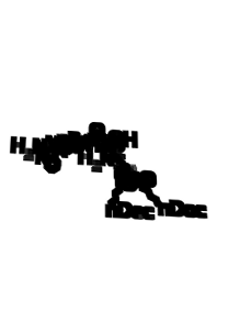 CCCCCCCCCCCCCCCC(=O)OC[C@H](CSC[C@H](N)C(=O)N[C@H](CO)C(=O)NCc1ccc(Cn2c(CCCC)nc3c(N)nc4ccccc4c32)cc1)OC(=O)CCCCCCCCCCCCCCC